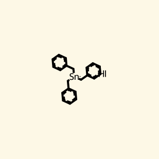 I.c1ccc([CH2][Sn]([CH2]c2ccccc2)[CH2]c2ccccc2)cc1